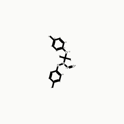 Cc1ccc(ON(P=O)C(C)(C)Oc2ccc(C)cc2)cc1